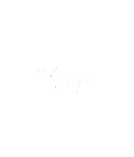 COc1cc2ncnc(Nc3ccc(Cl)c(Cl)c3F)c2cc1OCc1ccc2c(c1F)C(=O)N(C1CCC(=O)NC1=O)C2=O